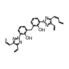 C=C/C=C\c1nn(-c2cccc(Cc3cccc(-n4nc(C=C)c(/C=C\C)n4)c3O)c2O)nc1C=C